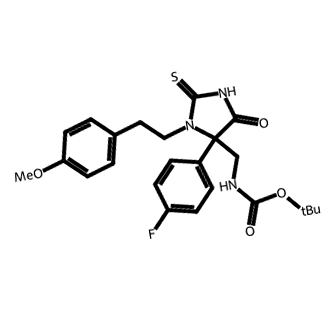 COc1ccc(CCN2C(=S)NC(=O)C2(CNC(=O)OC(C)(C)C)c2ccc(F)cc2)cc1